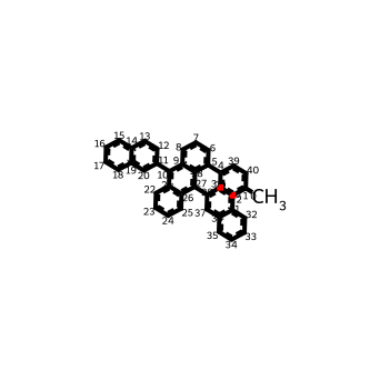 Cc1ccc(-c2cccc3c(-c4ccc5ccccc5c4)c4ccccc4c(-c4ccc5ccccc5c4)c23)cc1